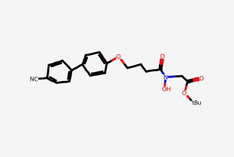 CC(C)(C)OC(=O)CN(O)C(=O)CCCOc1ccc(-c2ccc(C#N)cc2)cc1